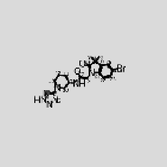 CC1(C)C(=O)N(CC(=O)N[C@@H]2CCCN(c3nn[nH]n3)C2)c2ccc(Br)cc21